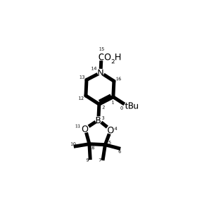 CC(C)(C)C1=C(B2OC(C)(C)C(C)(C)O2)CCN(C(=O)O)C1